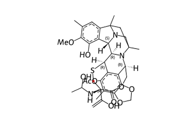 C=C(O)[C@]1(NC(C)O)CS[C@@H]2c3c(OC(C)=O)c(C)c4c(c3[C@H](COC1=O)N1[C@@H]2[C@@H]2c3c(cc(C)c(OC)c3O)C3(C)CC1(C)CN23)OCO4